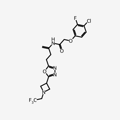 C=C(CCc1nnc(C2CN(CC(F)(F)F)C2)o1)NC(=O)COc1ccc(Cl)c(F)c1